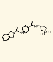 O=C(NCC1CCS(O)(O)C1)c1ccc(NC(=O)N2Cc3ccccc3C2)cc1